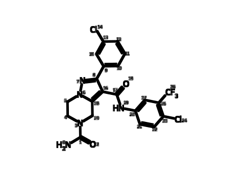 NC(=O)N1CCn2nc(-c3cccc(Cl)c3)c(C(=O)Nc3ccc(Cl)c(C(F)(F)F)c3)c2C1